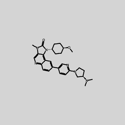 CO[C@H]1CC[C@H](n2c(=O)n(C)c3cnc4ccc(-c5ccc(N6CC[C@@H](N(C)C)C6)nc5)cc4c32)CC1